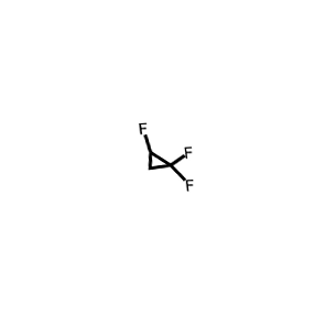 FC1CC1(F)F